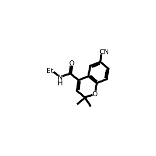 CCNC(=O)C1=CC(C)(C)Oc2ccc(C#N)cc21